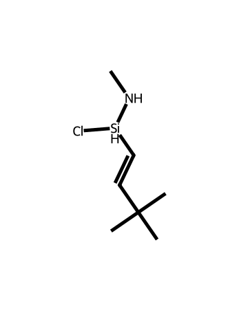 CN[SiH](Cl)C=CC(C)(C)C